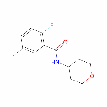 Cc1ccc(F)c(C(=O)NC2CCOCC2)c1